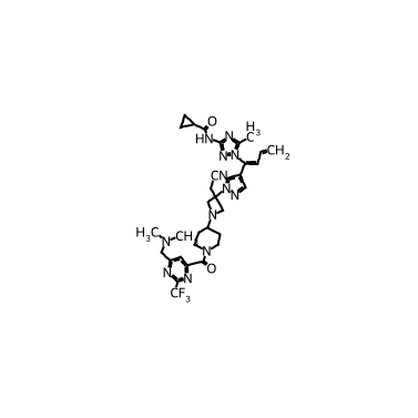 C=C/C=C(/c1cnn(C2(CC#N)CN(C3CCN(C(=O)c4cc(CN(C)C)nc(C(F)(F)F)n4)CC3)C2)c1)n1nc(NC(=O)C2CC2)nc1C